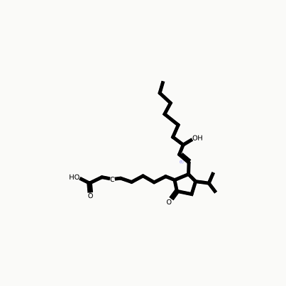 CCCCCCC(O)/C=C/C1C(CCCCCCCC(=O)O)C(=O)CC1C(C)C